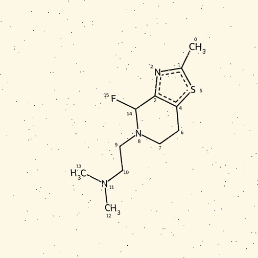 Cc1nc2c(s1)CCN(CCN(C)C)C2F